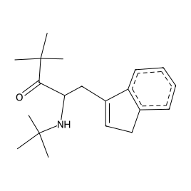 CC(C)(C)NC(CC1=CCc2ccccc21)C(=O)C(C)(C)C